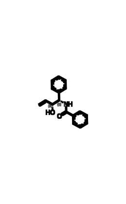 C=C[C@@H](O)[C@@H](NC(=O)c1ccccc1)c1ccccc1